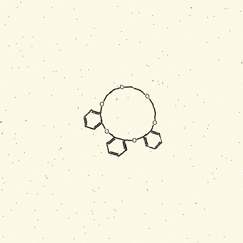 c1ccc2c(c1)OCCOCCOCCOc1ccccc1Oc1ccccc1O2